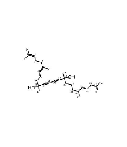 CC(C)=CCCC(C)=CCCC(C)(O)C#CC#CC(C)(O)CCCC(C)CCCC(C)C